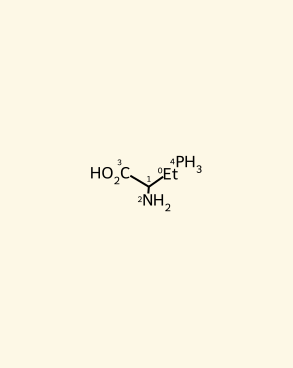 CCC(N)C(=O)O.P